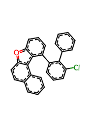 Clc1cccc(-c2cccc3oc4ccc5ccccc5c4c23)c1-c1ccccc1